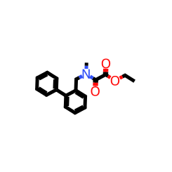 CCOC(=O)C(=O)N(C)Cc1ccccc1-c1ccccc1